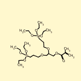 C=C(C)C(=O)OCC(COCCC[Si](OCC)(OCC)OCC)OCCC[Si](OCC)(OCC)OCC